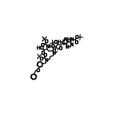 CC(C)(C)OC(=O)Nc1ncnc2c1ncn2[C@@H]1O[C@H](CN(CCCN(Cc2cccc(OCc3ccccc3)c2)C(=O)OC(C)(C)C)CCC(NC(=O)OC(C)(C)C)C(=O)O)[C@H]2OC(C)(C)O[C@H]21